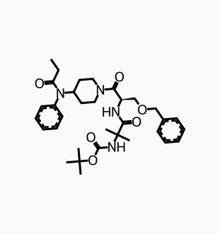 CCC(=O)N(c1ccccc1)C1CCN(C(=O)[C@@H](COCc2ccccc2)NC(=O)C(C)(C)NC(=O)OC(C)(C)C)CC1